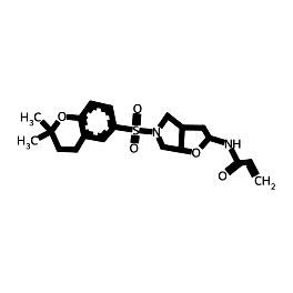 C=CC(=O)NC1CC2CN(S(=O)(=O)c3ccc4c(c3)CCC(C)(C)O4)CC2O1